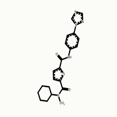 CN(C(=O)c1ccc(C(=O)Nc2ccc(-n3cncn3)cc2)s1)C1CCCCC1